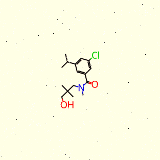 CC(C)c1cc(Cl)cc(C(=O)N(C)CC(C)(C)CO)c1